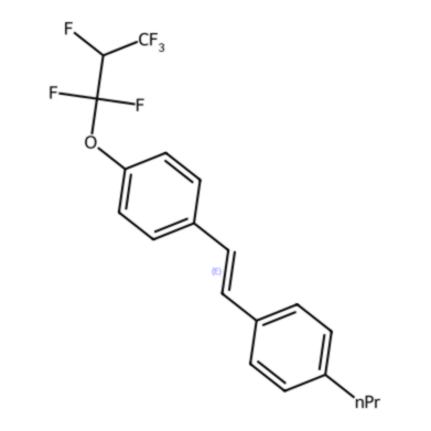 CCCc1ccc(/C=C/c2ccc(OC(F)(F)C(F)C(F)(F)F)cc2)cc1